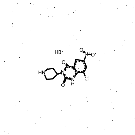 Br.O=c1[nH]c2c(Cl)cc([N+](=O)[O-])cc2c(=O)n1C1CCNCC1